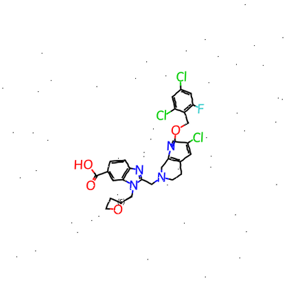 O=C(O)c1ccc2nc(CN3CCc4cc(Cl)c(OCc5c(F)cc(Cl)cc5Cl)nc4C3)n(C[C@@H]3CCO3)c2c1